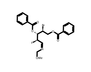 COC/N=C\[C@@H](F)[C@H](OC(=O)c1ccccc1)[C@@H](Br)COC(=O)c1ccccc1